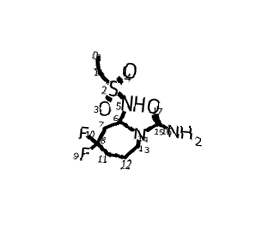 CCS(=O)(=O)NC1CC(F)(F)CCCN1C(N)=O